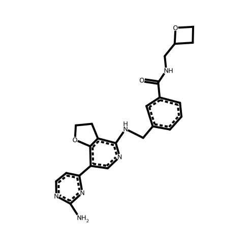 Nc1nccc(-c2cnc(NCc3cccc(C(=O)NCC4CCO4)c3)c3c2OCC3)n1